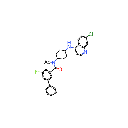 CC(=O)N(C(=O)c1cc(F)cc(-c2ccccc2)c1)C1CCC(Nc2ccnc3cc(Cl)ccc23)CC1